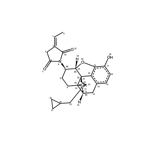 CC=C1CC(=O)N([C@@H]2CC[C@@]3(O)[C@H]4Cc5ccc(O)c6c5[C@@]3(CCN4CC3CC3)[C@H]2O6)C1=O